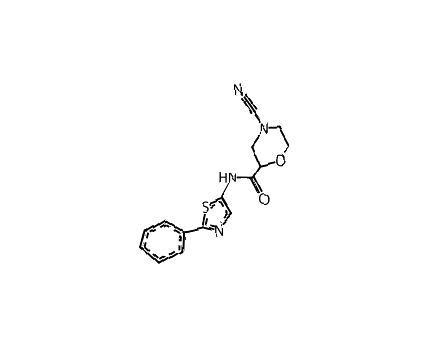 N#CN1CCOC(C(=O)Nc2cnc(-c3ccccc3)s2)C1